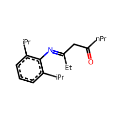 CCCC(=O)C/C(CC)=N/c1c(C(C)C)cccc1C(C)C